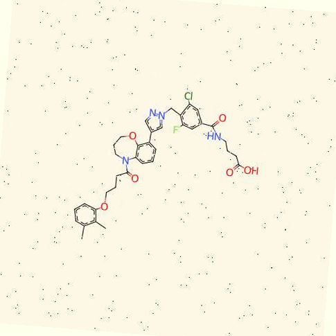 Cc1cccc(OCCCC(=O)N2CCCOc3c(-c4cnn(Cc5c(F)cc(C(=O)NCCCC(=O)O)cc5Cl)c4)cccc32)c1C